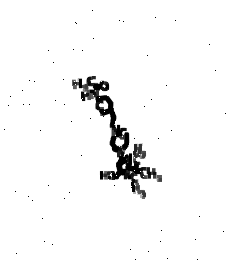 CC(=O)NC1CCC(CCN2CCCN(c3cc(CO)nc(C(C)(C)C)n3)CC2)CC1